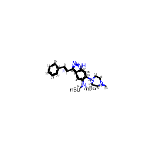 CCCCN(CCCC)c1cc2c(/C=C/c3ccccc3)n[nH]c2cc1N1CCN(C)CC1